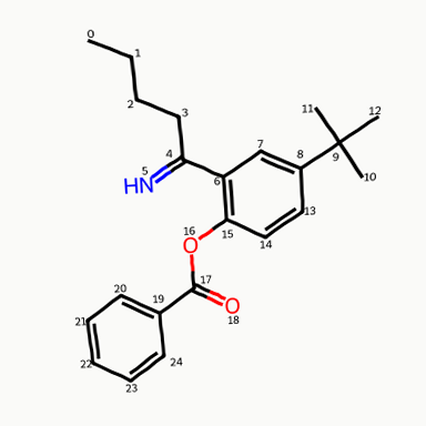 CCCCC(=N)c1cc(C(C)(C)C)ccc1OC(=O)c1ccccc1